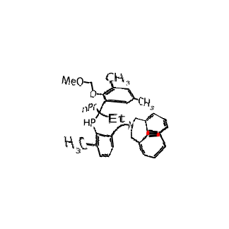 CCCC(CC)(Pc1c(C)cccc1CN(Cc1ccccc1)Cc1ccccc1)c1cc(C)cc(C)c1OCOC